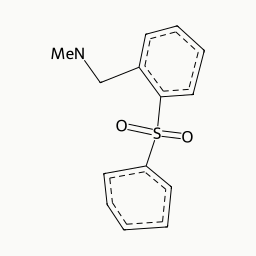 CNCc1ccccc1S(=O)(=O)c1ccccc1